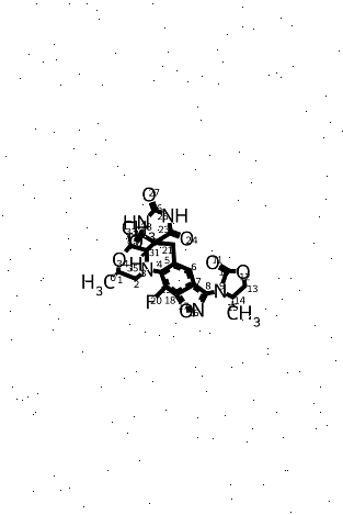 C[C@@H]1CN2c3c(cc4c(N5C(=O)OC[C@@H]5C)noc4c3F)CC3(C(=O)NC(=O)NC3=O)[C@H]2[C@H](C)O1